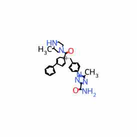 Cc1nc(C(N)=O)nn1-c1ccc(C[C@]2(C(=O)N3CCNC(C)C3)C=CC(c3ccccc3)=CC2)cc1